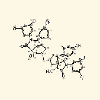 CN1C(=O)N(c2cc(Cl)cc(Cl)c2)C(=O)[C@]12CN(CN1C[C@@H](c3ccc(C#N)cc3)[C@]3(C1)C(=O)N(c1cc(Cl)cc(Cl)c1)C(=O)N3C)C[C@H]2c1ccc(C#N)cc1